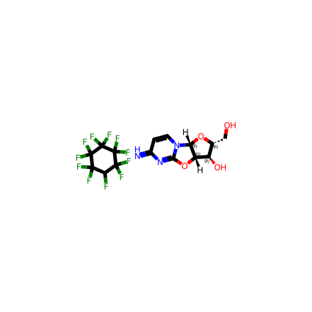 FC1C(F)(F)C(F)(F)C(F)(F)C(F)(F)C1(F)F.N=c1ccn2c(n1)O[C@H]1[C@H](O)[C@@H](CO)O[C@H]12